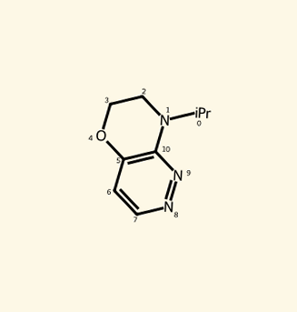 CC(C)N1CCOc2ccnnc21